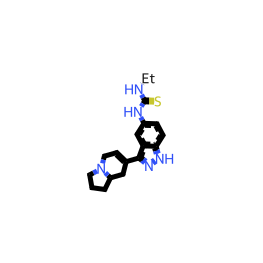 CCNC(=S)Nc1ccc2[nH]nc(C3=CCN4CCCC4C3)c2c1